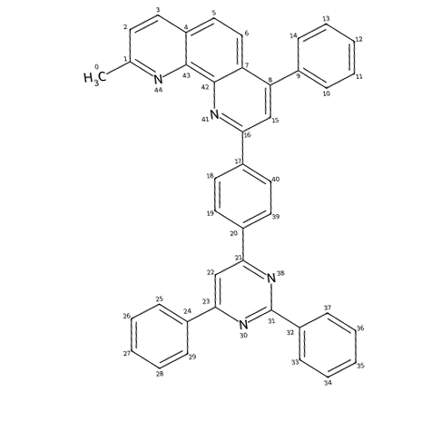 Cc1ccc2ccc3c(-c4ccccc4)cc(-c4ccc(-c5cc(-c6ccccc6)nc(-c6ccccc6)n5)cc4)nc3c2n1